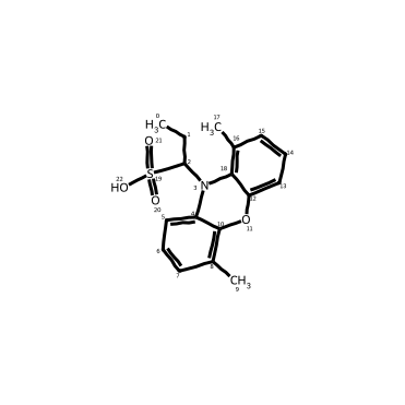 CCC(N1c2cccc(C)c2Oc2cccc(C)c21)S(=O)(=O)O